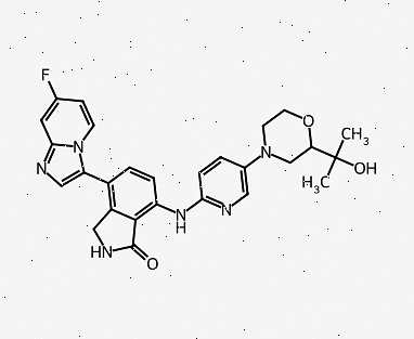 CC(C)(O)C1CN(c2ccc(Nc3ccc(-c4cnc5cc(F)ccn45)c4c3C(=O)NC4)nc2)CCO1